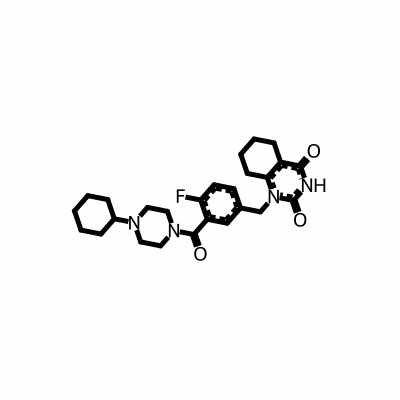 O=C(c1cc(Cn2c3c(c(=O)[nH]c2=O)CCCC3)ccc1F)N1CCN(C2CCCCC2)CC1